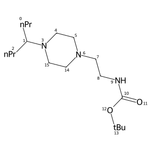 CCCC(CCC)N1CCN(CCNC(=O)OC(C)(C)C)CC1